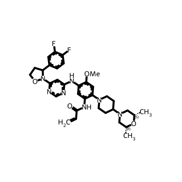 C=CC(=O)Nc1cc(Nc2cc(N3OCCC3c3ccc(F)c(F)c3)ncn2)c(OC)cc1N1CCC(N2C[C@@H](C)O[C@@H](C)C2)CC1